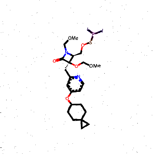 COCO[C@@]1(Cc2cc(OC3CCC4(CC3)CC4)ccn2)C(=O)N(COC)[C@H]1COSP(I)I